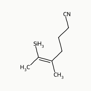 CC([SiH3])=C(C)CCCC#N